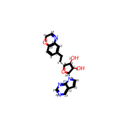 O[C@@H]1[C@H](O)[C@@H](CCc2ccc3c(c2)N=CCO3)O[C@H]1n1ccc2cncnc21